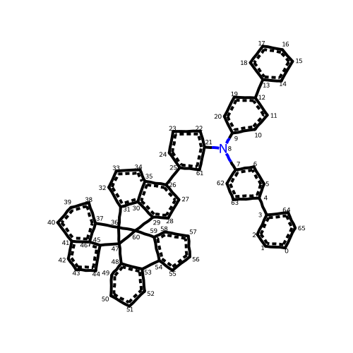 c1ccc(-c2ccc(N(c3ccc(-c4ccccc4)cc3)c3cccc(-c4ccc5c6c(cccc46)C46c7cccc8cccc(c78)C47c4ccccc4-c4ccccc4C576)c3)cc2)cc1